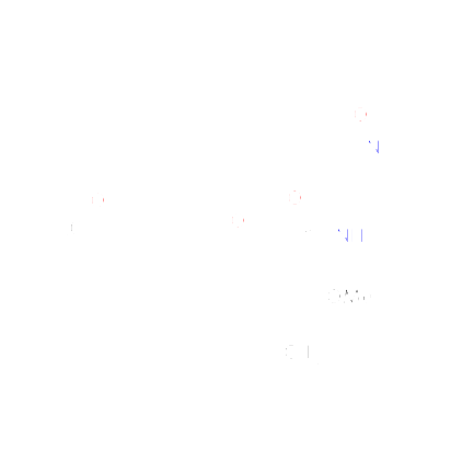 COc1c(C)ccc(Oc2ccc(OC(F)(F)F)cc2)c1C(=O)Nc1ccc[n+]([O-])c1